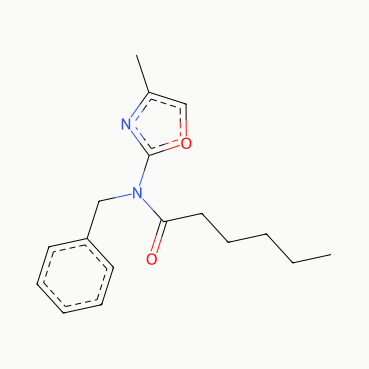 CCCCCC(=O)N(Cc1ccccc1)c1nc(C)co1